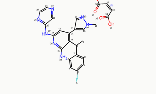 CC(c1ccc(F)cc1)c1c(-c2cnn(C)c2)cc(Nc2cnccn2)nc1N.O=C(O)/C=C\C(=O)O